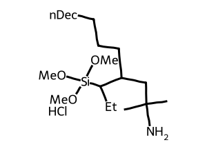 CCCCCCCCCCCCCC(CC(C)(C)N)C(CC)[Si](OC)(OC)OC.Cl